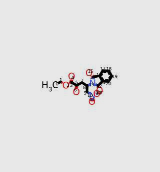 CCOC(=O)C(=O)CC(C[N+](=O)[O-])N1C(=O)c2ccccc2C1=O